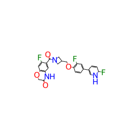 O=C1COc2cc(F)c(C(=O)N3CC(COc4ccc(C5=CNC(F)C=C5)cc4F)C3)cc2N1